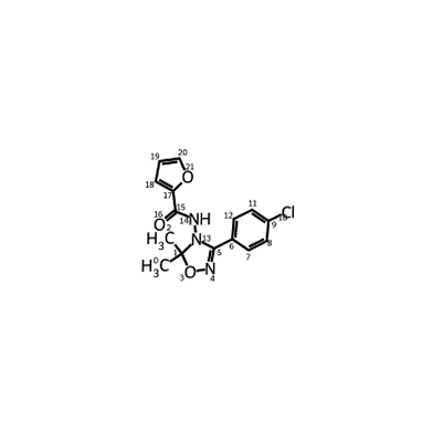 CC1(C)ON=C(c2ccc(Cl)cc2)N1NC(=O)c1ccco1